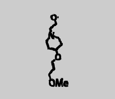 COCCCOC1CCN(CC[O])CC1